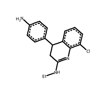 CCNC1=Nc2c(Cl)cccc2C(c2ccc(N)cc2)C1